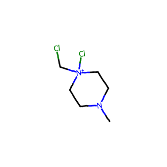 CN1CC[N+](Cl)(CCl)CC1